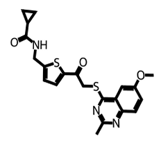 COc1ccc2nc(C)nc(SCC(=O)c3ccc(CNC(=O)C4CC4)s3)c2c1